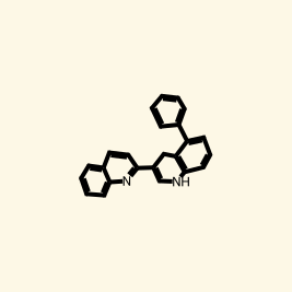 C1=C(c2ccc3ccccc3n2)Cc2c(cccc2-c2ccccc2)N1